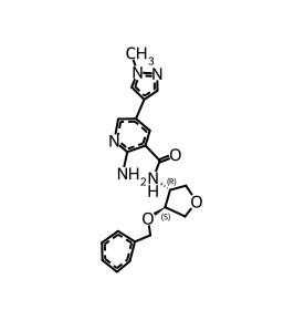 Cn1cc(-c2cnc(N)c(C(=O)N[C@@H]3COC[C@H]3OCc3ccccc3)c2)cn1